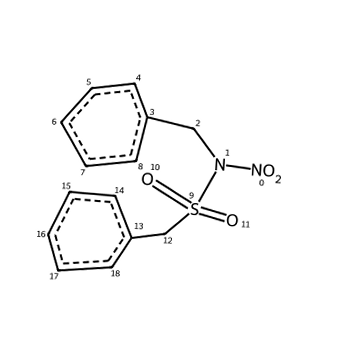 O=[N+]([O-])N(Cc1ccccc1)S(=O)(=O)Cc1ccccc1